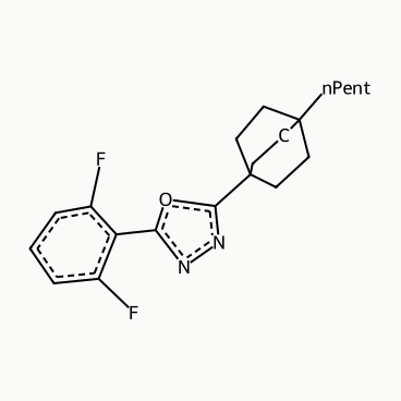 CCCCCC12CCC(c3nnc(-c4c(F)cccc4F)o3)(CC1)CC2